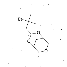 [CH2]CC(C)(C)C[C]1OC2COCC(C2)O1